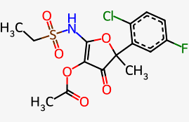 CCS(=O)(=O)NC1=C(OC(C)=O)C(=O)C(C)(c2cc(F)ccc2Cl)O1